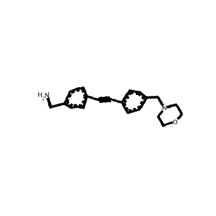 NCc1ccc(C#Cc2ccc(CN3CCOCC3)cc2)cc1